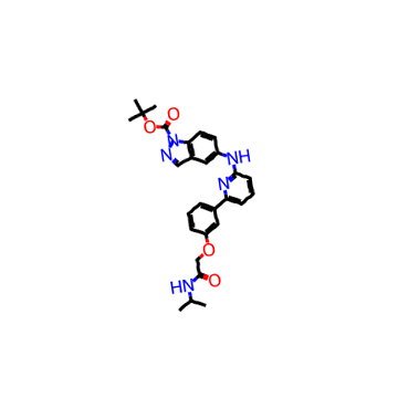 CC(C)NC(=O)COc1cccc(-c2cccc(Nc3ccc4c(cnn4C(=O)OC(C)(C)C)c3)n2)c1